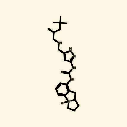 CC(CNCc1cc(NC(=O)Nc2cccc3c2CC2CCC[N+]32[O-])n[nH]1)CC(C)(C)C